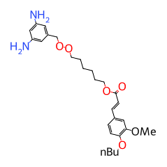 CCCCOc1ccc(C=CC(=O)OCCCCCCOOCc2cc(N)cc(N)c2)cc1OC